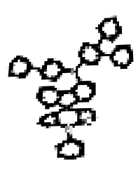 c1ccc(-c2ccc(N(c3ccc(-c4ccccc4)c(-c4ccccc4)c3)c3cccc4c3-c3ccccc3C43c4ccccc4N(c4ccccc4)c4ccccc43)cc2)cc1